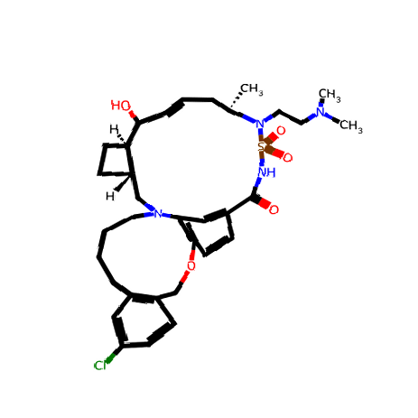 C[C@H]1C/C=C/C(O)[C@@H]2CC[C@H]2CN2CCCCc3cc(Cl)ccc3COc3ccc(cc32)C(=O)NS(=O)(=O)N1CCN(C)C